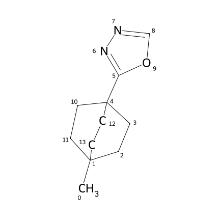 CC12CCC(c3nnco3)(CC1)CC2